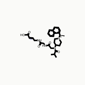 CC(C)C(=O)N(CC(=O)NCC(=O)NC/C=C/C(=O)O)C1CCN([C@H](C)c2cccc3ccccc23)CC1